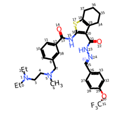 CCN(CC)CCN(C)Cc1cccc(C(=O)Nc2sc3c(c2C(=O)N/N=C/c2ccc(OC(F)(F)F)cc2)CCCC3)c1